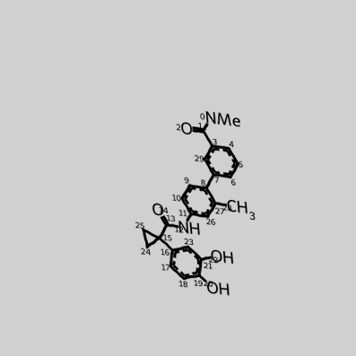 CNC(=O)c1cccc(-c2ccc(NC(=O)C3(c4ccc(O)c(O)c4)CC3)cc2C)c1